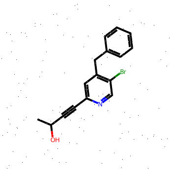 CC(O)C#Cc1cc(Cc2ccccc2)c(Br)cn1